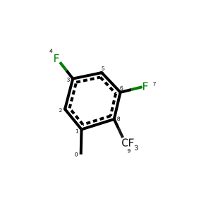 Cc1cc(F)cc(F)c1C(F)(F)F